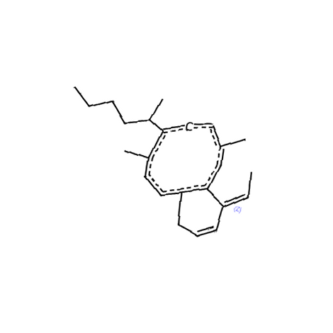 C/C=C1/C=CCc2ccc(C)c(C(C)CCCC)ccc(C)cc21